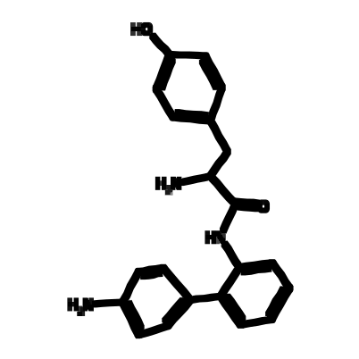 Nc1ccc(-c2ccccc2NC(=O)C(N)Cc2ccc(O)cc2)cc1